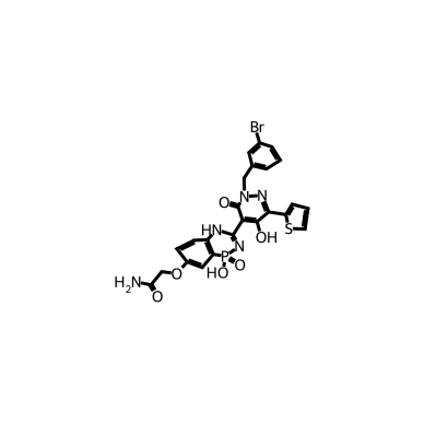 NC(=O)COc1ccc2c(c1)P(=O)(O)N=C(c1c(O)c(-c3cccs3)nn(Cc3cccc(Br)c3)c1=O)N2